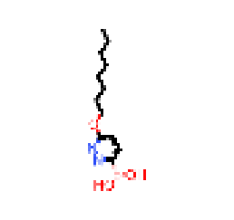 CCCCCCCCOc1ccc(B(O)O)nn1